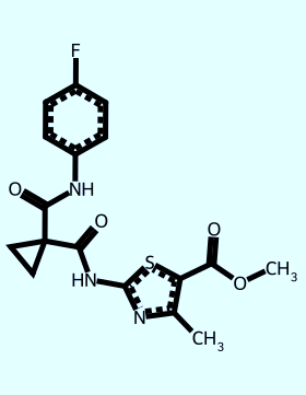 COC(=O)c1sc(NC(=O)C2(C(=O)Nc3ccc(F)cc3)CC2)nc1C